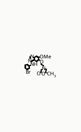 COc1cc2ncnc(Nc3cccc(Br)c3)c2cc1OCCN1CC(=O)O[C@H](C)C1